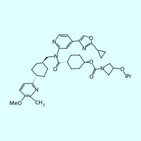 COc1ccc([C@H]2CC[C@H](CN(c3cc(-c4coc(C5CC5)n4)ccn3)C(=O)[C@H]3CC[C@H](OC(=O)N4CC(OC(C)C)C4)CC3)CC2)nc1C